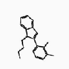 CCCC[C]1C(c2cccc(C)c2C)=Cc2ccccc21